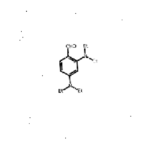 CCN(CC)c1ccc([C]=O)c(N(CC)CC)c1